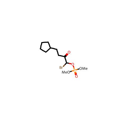 COP(=O)(OC)OC(Br)C(=O)CCC1CCCC1